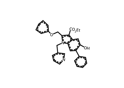 CCOC(=O)c1c(COc2ccccc2)n(Cc2cccnc2)c2cc(-c3ccccc3)c(O)cc12